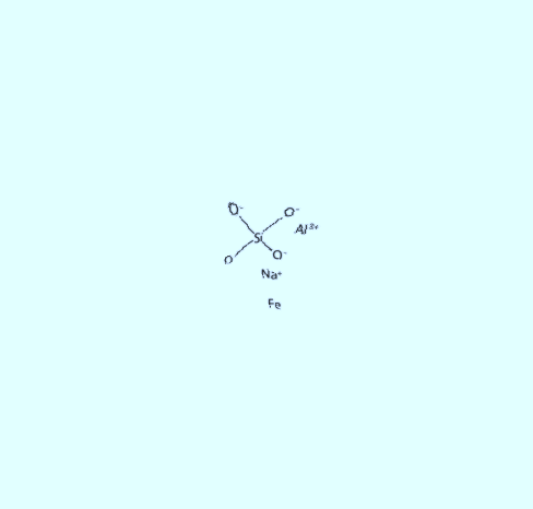 [Al+3].[Fe].[Na+].[O-][Si]([O-])([O-])[O-]